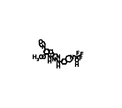 COc1cc(N2CCOCC2)ccc1Nc1nc(Nc2ccc3c(c2)CCN(C[C@H](O)C(F)(F)F)CC3)ncc1Cl